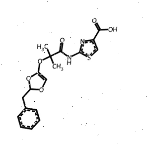 CC(C)(OC1=COC(Cc2ccccc2)O1)C(=O)Nc1nc(C(=O)O)cs1